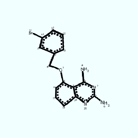 Nc1nc(N)c2c(OCc3cccc(Br)c3)cccc2n1